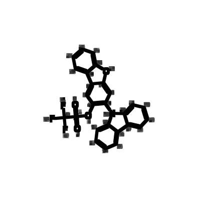 O=S(=O)(Oc1cc2c(cc1-n1c3ccccc3c3ccccc31)oc1ccccc12)C(F)(F)F